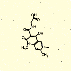 Cc1cc2c(cc1I)c(O)c(C(=O)NCC(=O)O)c(=O)n2C